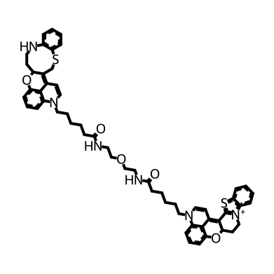 O=C(CCCCCN1C=CC2=C3CSc4ccccc4NCCC3Oc3cccc1c32)NCCOCCNC(=O)CCCCCN1C=CC2=C3c4sc5ccccc5[n+]4CCC3Oc3cccc1c32